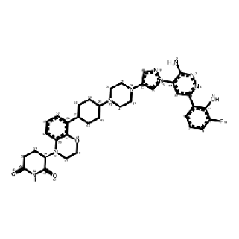 Nc1nnc(-c2cccc(F)c2O)cc1-n1cc(N2CCN(C3CCC(c4cccc5c4OCCN5[C@@H]4CCC(=O)NC4=O)CC3)CC2)cn1